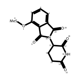 CSOc1cccc2c1C(=O)N(C1CCC(=O)NC1=O)C2=O